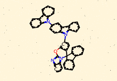 c1ccc2c(c1)-c1ccccc1C21c2ccc(-n3c4ccccc4c4cc(-n5c6ccccc6c6ccccc65)ccc43)cc2Oc2nc3ccccc3n21